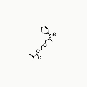 C=C(C)C(=O)OCCOCC(C)[S+]([O-])c1ccccc1